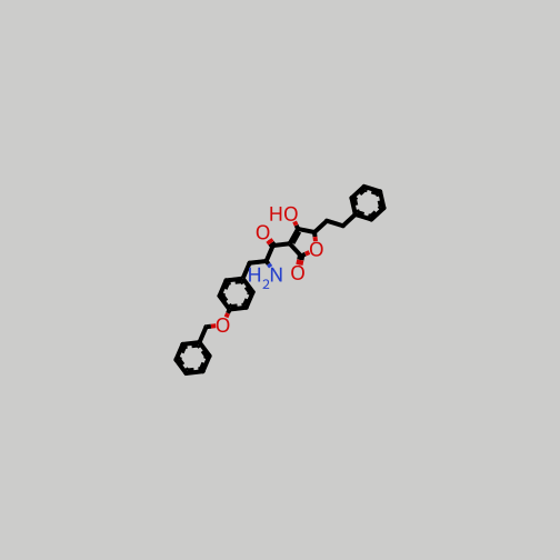 NC(Cc1ccc(OCc2ccccc2)cc1)C(=O)C1=C(O)C(CCc2ccccc2)OC1=O